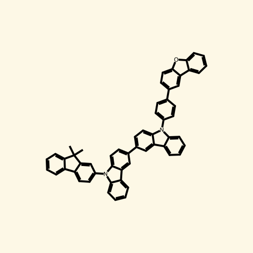 CC1(C)c2ccccc2-c2ccc(-n3c4ccccc4c4cc(-c5ccc6c(c5)c5ccccc5n6-c5ccc(-c6ccc7oc8ccccc8c7c6)cc5)ccc43)cc21